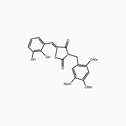 COc1cc(OC)c(OC)cc1CN1C(=O)S/C(=C\c2cccc(O)c2O)C1=O